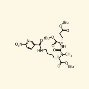 CN(C(=O)N[C@@H](CCC(=O)OC(C)(C)C)C(=O)OC(C)(C)C)[C@@H](CCCCNC(=O)c1ccc([N+](=O)[O-])nc1)C(=O)OC(C)(C)C